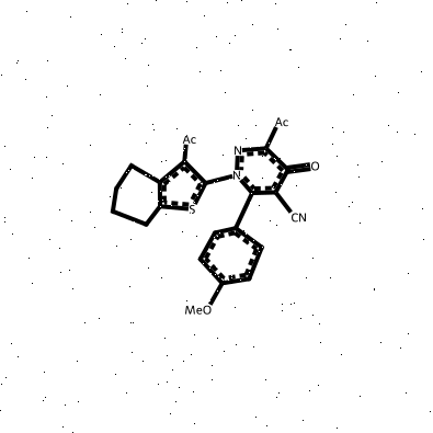 COc1ccc(-c2c(C#N)c(=O)c(C(C)=O)nn2-c2sc3c(c2C(C)=O)CCCC3)cc1